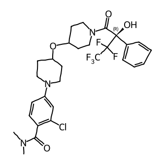 CN(C)C(=O)c1ccc(N2CCC(OC3CCN(C(=O)[C@](O)(c4ccccc4)C(F)(F)C(F)(F)F)CC3)CC2)cc1Cl